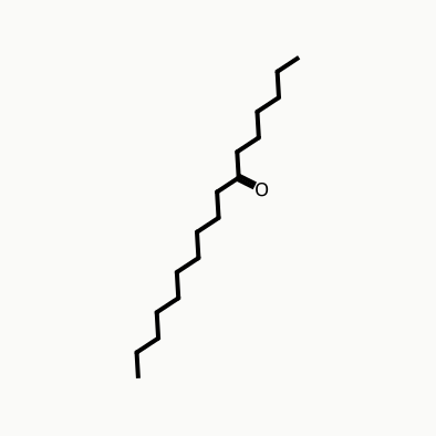 CCCCCCCCCCC(=O)CCCCCC